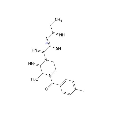 CCC(=N)/N=C(\S)C(=N)N1CCN(C(=O)c2ccc(F)cc2)C(C)C1=N